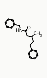 CC(CCc1ccccc1)CC(=O)NCc1ccccc1